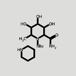 C1CCNCC1.CCCCN1C(C)C(O)C(O)C(O)C1C(N)=O